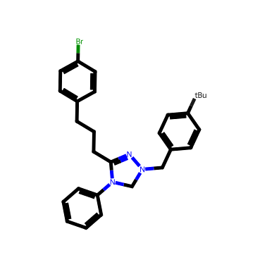 CC(C)(C)c1ccc(CN2CN(c3ccccc3)C(CCCc3ccc(Br)cc3)=N2)cc1